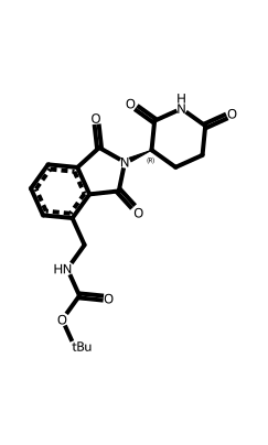 CC(C)(C)OC(=O)NCc1cccc2c1C(=O)N([C@@H]1CCC(=O)NC1=O)C2=O